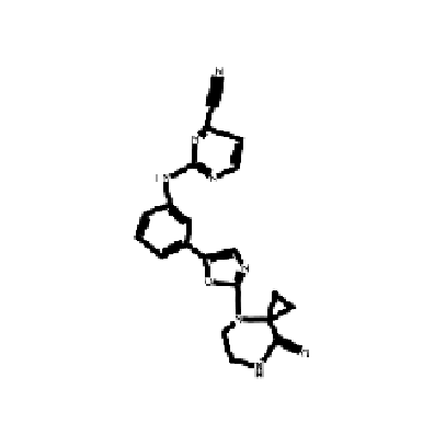 N#Cc1ccnc(Nc2cccc(-c3cnc(N4CCNC(=O)C45CC5)o3)c2)n1